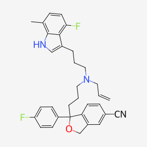 C=CCN(CCCc1c[nH]c2c(C)ccc(F)c12)CCCC1(c2ccc(F)cc2)OCc2cc(C#N)ccc21